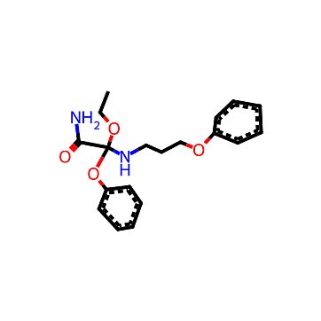 CCOC(NCCCOc1ccccc1)(Oc1ccccc1)C(N)=O